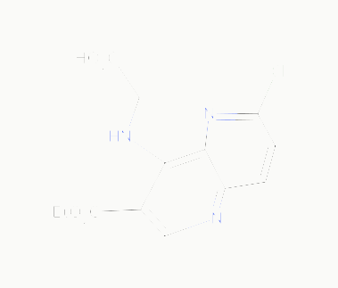 CCOC(=O)c1cnc2ccc(Cl)nc2c1NCC(=O)O